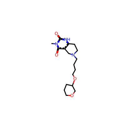 Cn1c(=O)[nH]c2c(c1=O)CN(CCCCOC1CCCOC1)CC2